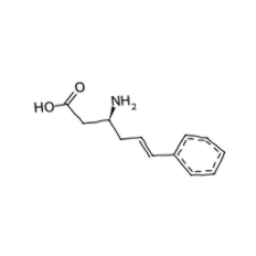 N[C@@H](CC=Cc1ccccc1)CC(=O)O